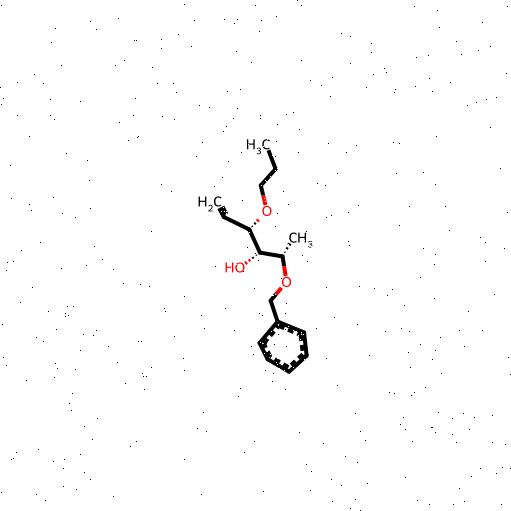 C=C[C@H](OCCC)[C@@H](O)[C@H](C)OCc1ccccc1